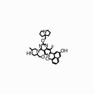 CC1CN2c3nc(OCC45CCCN4CCC5)nc4c(F)c(-c5cc(O)cc6cccc(Cl)c56)nc(c34)OCC2CN1